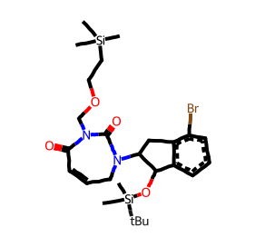 CC(C)(C)[Si](C)(C)OC1c2cccc(Br)c2CC1N1CC=CC(=O)N(COCC[Si](C)(C)C)C1=O